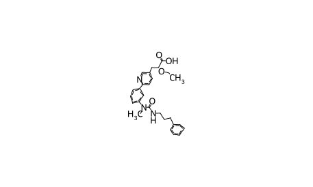 CCOC(Cc1ccc(-c2cccc(N(C)C(=O)NCCCc3ccccc3)c2)nc1)C(=O)O